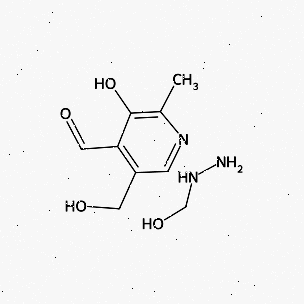 Cc1ncc(CO)c(C=O)c1O.NNCO